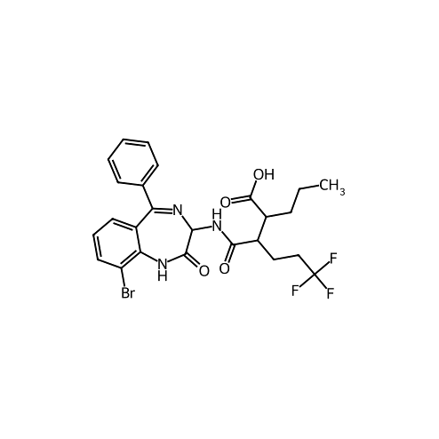 CCCC(C(=O)O)C(CCC(F)(F)F)C(=O)NC1N=C(c2ccccc2)c2cccc(Br)c2NC1=O